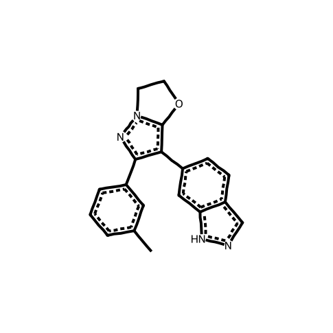 Cc1cccc(-c2nn3c(c2-c2ccc4cn[nH]c4c2)OCC3)c1